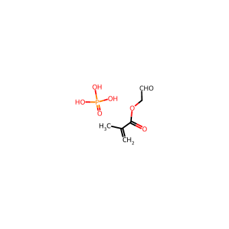 C=C(C)C(=O)OCC=O.O=P(O)(O)O